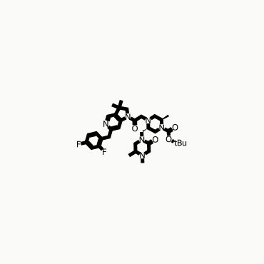 CC1CN(C[C@H]2CN(C(=O)OC(C)(C)C)[C@H](C)CN2CC(=O)N2CC(C)(C)c3cnc(Cc4ccc(F)cc4F)cc32)C(=O)CN1C